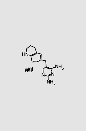 Cl.Cl.Nc1ncc(Cc2ccc3c(c2)CCCN3)c(N)n1